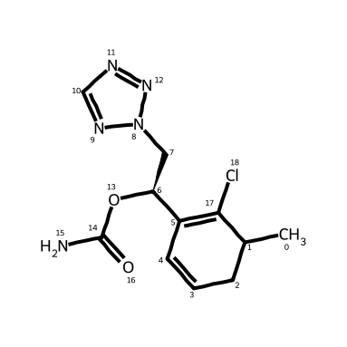 CC1CC=CC([C@H](Cn2ncnn2)OC(N)=O)=C1Cl